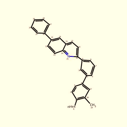 CCCCCCc1ccc(-c2cccc(-c3ccc4cc(-c5ccccc5)ccc4n3)c2)cc1C